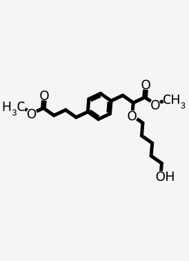 COC(=O)CCCc1ccc(CC(OCCCCCO)C(=O)OC)cc1